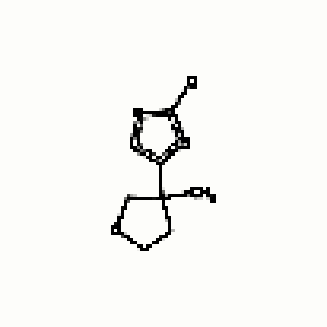 CC1(c2cnc(Cl)s2)CCOC1